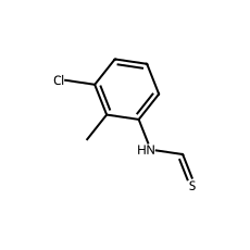 Cc1c(Cl)cccc1NC=S